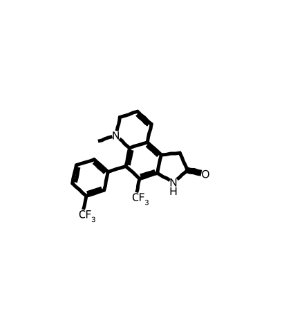 CN1CC=Cc2c3c(c(C(F)(F)F)c(-c4cccc(C(F)(F)F)c4)c21)NC(=O)C3